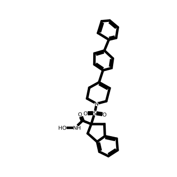 O=C(NO)C1(S(=O)(=O)N2CC=C(c3ccc(-c4ccccc4)cc3)CC2)Cc2ccccc2C1